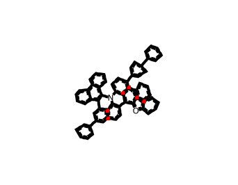 c1ccc(-c2ccc(-c3ccc(N(c4ccccc4-c4cccc5c4oc4ccccc45)c4c(-c5cccc(-c6ccccc6)c5)c5ccccc5c5ccccc45)cc3-c3ccccc3)cc2)cc1